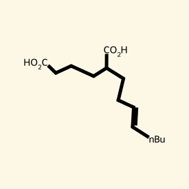 CCCCC=CCCC(CCCC(=O)O)C(=O)O